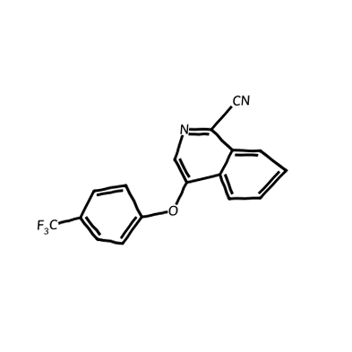 N#Cc1ncc(Oc2ccc(C(F)(F)F)cc2)c2ccccc12